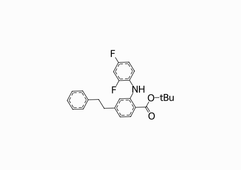 CC(C)(C)OC(=O)c1ccc(CCc2ccccc2)cc1Nc1ccc(F)cc1F